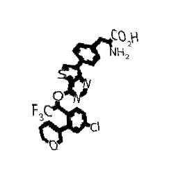 NC(Cc1ccc(-c2csc3c(OC(c4ccc(Cl)cc4C4=CCCOC4)C(F)(F)F)ncnc23)cc1)C(=O)O